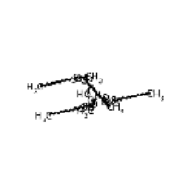 CCCCCCCCCCCCCCSSSCC(CC)OC(=O)CCN(CCO)CCCN(CCC(=O)OC(CC)CSSSCCCCCCCCCCCCCC)CCC(=O)OC(CC)CSSSCCCCCCCCCCCCCC